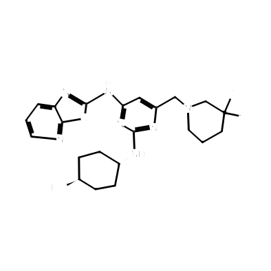 O[C@H]1CC[C@H](Nc2nc(CN3CCCC(F)(F)C3)cc(Nc3nc4cccnc4s3)n2)CC1